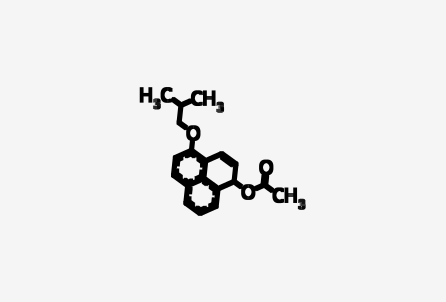 CC(=O)OC1C=Cc2c(OCC(C)C)ccc3cccc1c23